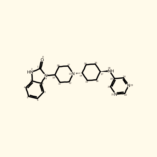 O=c1[nH]c2ccccc2n1C1CCN([C@H]2CC[C@H](Nc3cncnc3)CC2)CC1